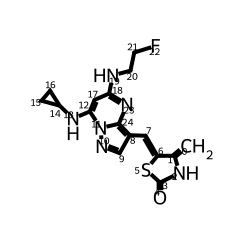 C=c1[nH]c(=O)s/c1=C\c1cnn2c(NC3CC3)cc(NCCF)nc12